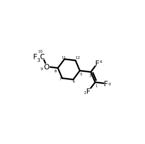 FC(F)=C(F)C1CCC(OC(F)(F)F)CC1